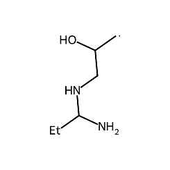 [CH2]C(O)CNC(N)CC